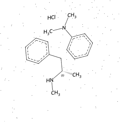 CN(C)c1ccccc1.CN[C@@H](C)Cc1ccccc1.Cl